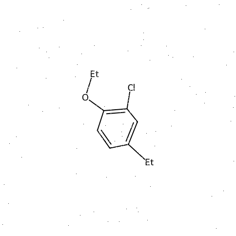 [CH2]Cc1ccc(OCC)c(Cl)c1